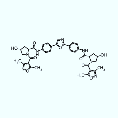 Cc1noc(C)c1C(=O)N1C[C@H](O)C[C@H]1C(=O)Nc1ccc(-c2cnc(-c3ccc(NC(=O)[C@@H]4C[C@@H](O)CN4C(=O)c4c(C)noc4C)cc3)o2)cc1